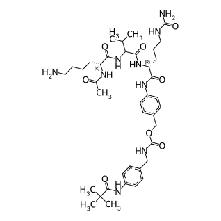 CC(=O)N[C@H](CCCCN)C(=O)NC(C(=O)N[C@H](CCCNC(N)=O)C(=O)Nc1ccc(COC(=O)NCc2ccc(NC(=O)C(C)(C)C)cc2)cc1)C(C)C